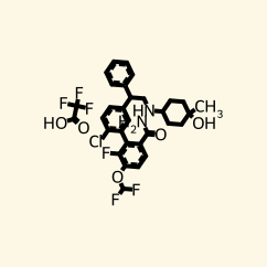 CC1(O)CCC(NCC(c2ccccc2)c2ccc(Cl)c(-c3c(C(N)=O)ccc(OC(F)F)c3F)c2)CC1.O=C(O)C(F)(F)F